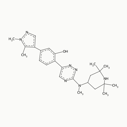 Cc1c(-c2ccc(-c3cnc(N(C)C4CC(C)(C)NC(C)(C)C4)nn3)c(O)c2)cnn1C